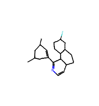 CC1C=C(C2=NC=CC3CCC4CC(F)CCC4C23)CC(C)C1